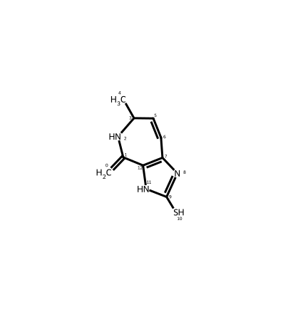 C=C1NC(C)C=Cc2nc(S)[nH]c21